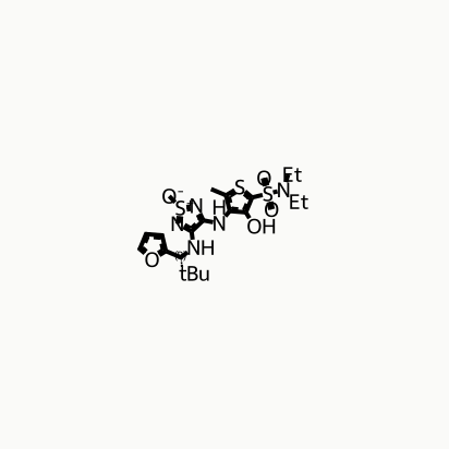 CCN(CC)S(=O)(=O)c1sc(C)c(Nc2n[s+]([O-])nc2N[C@@H](c2ccco2)C(C)(C)C)c1O